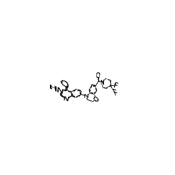 O=C(c1ccc2c(c1)OCCN2c1ccc2c(=O)[nH]cnc2c1)N1CCC(F)(F)CC1